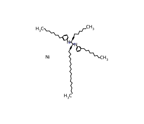 CCCCCCCC#CC(=N\c1cccc(CCCCCCCCC)c1)/C(C#CCCCCCCCCCCCCCCCCCCC)=N/c1cccc(CCCCCCCCC)c1.[Ni]